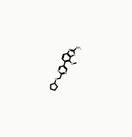 COc1c(-c2cnc(COC3CCCC3)nc2)ccc2nc(N)sc12